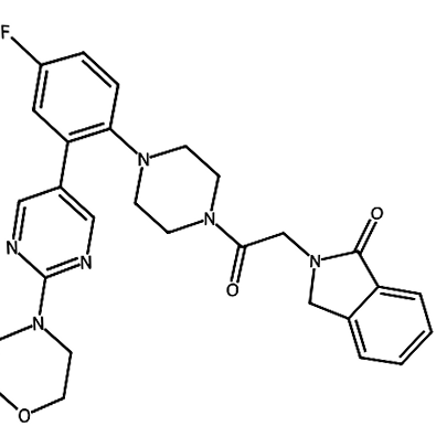 O=C(CN1Cc2ccccc2C1=O)N1CCN(c2ccc(F)cc2-c2cnc(N3CCOCC3)nc2)CC1